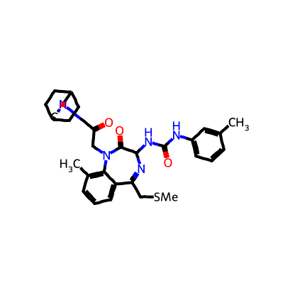 CSCC1=NC(NC(=O)Nc2cccc(C)c2)C(=O)N(CC(=O)N2CC3CCC(CC3)C2)c2c(C)cccc21